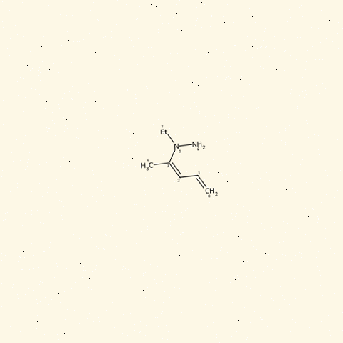 C=C/C=C(/C)N(N)CC